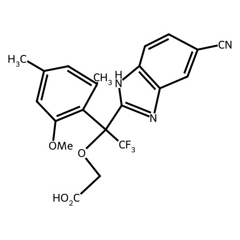 COc1cc(C)cc(C)c1C(OCC(=O)O)(c1nc2cc(C#N)ccc2[nH]1)C(F)(F)F